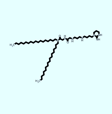 CCCCCCCCCCCCCCCCCCN(CCCCCCCCCCCCCCCCCC)C(=O)CNC(=O)CNCCCNCCCCN1CCCNC1=N